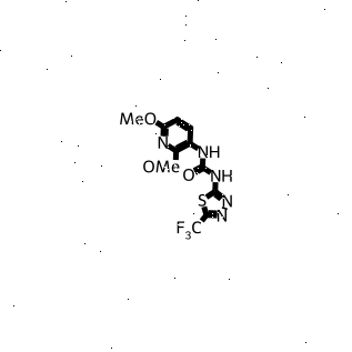 COc1ccc(NC(=O)Nc2nnc(C(F)(F)F)s2)c(OC)n1